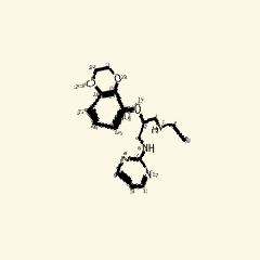 CCNCC(CNc1ncccn1)Oc1cccc2c1OCCO2